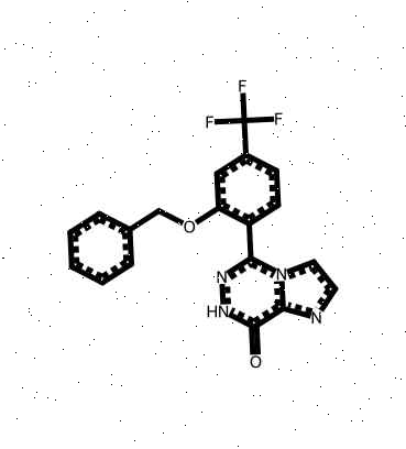 O=c1[nH]nc(-c2ccc(C(F)(F)F)cc2OCc2ccccc2)n2ccnc12